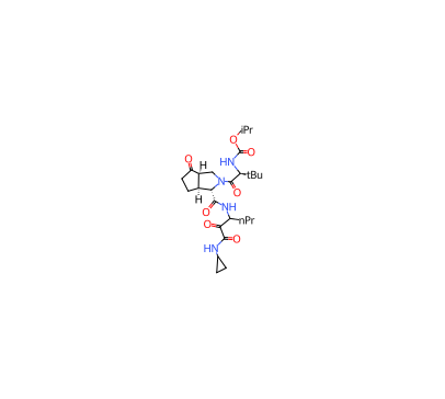 CCCC(NC(=O)[C@@H]1[C@H]2CCC(=O)[C@H]2CN1C(=O)[C@@H](NC(=O)OC(C)C)C(C)(C)C)C(=O)C(=O)NC1CC1